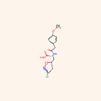 COc1ccc(CC(=O)N[C@@H](CC2CC(Cl)=NO2)C(=O)O)cc1